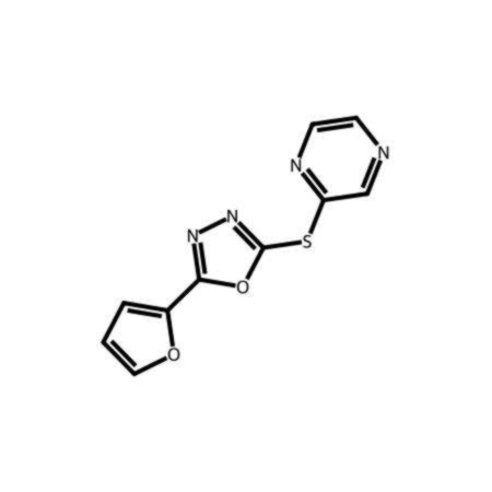 c1coc(-c2nnc(Sc3cnccn3)o2)c1